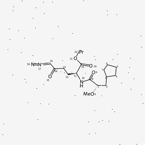 CO[C@@H](CC1CCCC1)C(=O)N[C@@H](CCC(=O)C=[N+]=[N-])C(=O)OC(C)C